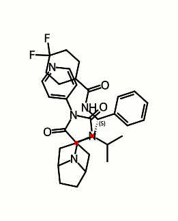 CC(C)N1C(=O)N(c2ccncc2)C(=O)C12CC1CCC(C2)N1CC[C@H](NC(=O)C1CCC(F)(F)CC1)c1ccccc1